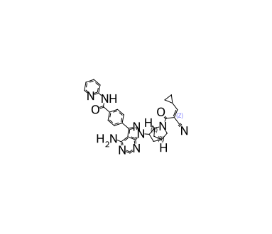 N#C/C(=C/C1CC1)C(=O)N1C[C@H]2CC(n3nc(-c4ccc(C(=O)Nc5ccccn5)cc4)c4c(N)ncnc43)[C@H]1C2